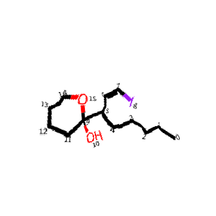 CCCCCC(/C=C\I)[C@]1(O)CCCCO1